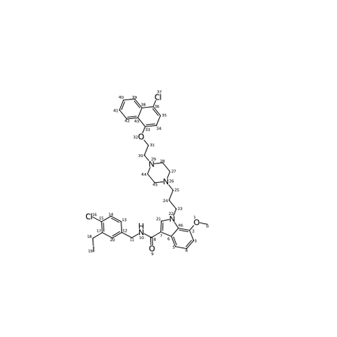 COc1cccc2c(C(=O)NCc3ccc(Cl)c(CI)c3)cn(CCCN3CCN(CCOc4ccc(Cl)c5ccccc45)CC3)c12